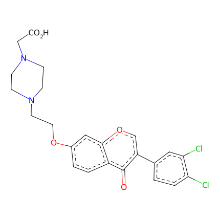 O=C(O)CN1CCN(CCOc2ccc3c(=O)c(-c4ccc(Cl)c(Cl)c4)coc3c2)CC1